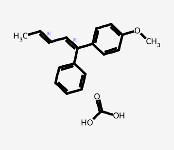 C/C=C/C=C(\c1ccccc1)c1ccc(OC)cc1.O=C(O)O